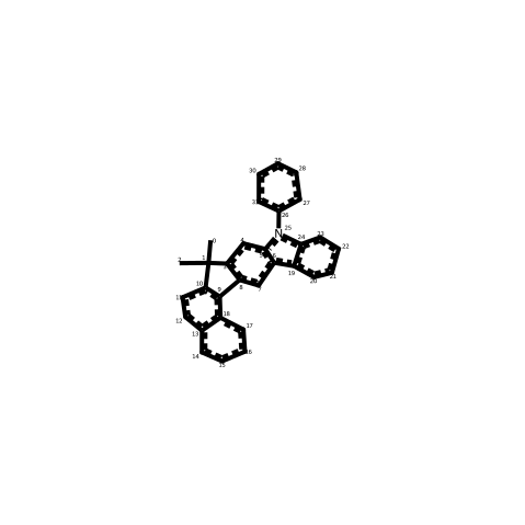 CC1(C)c2cc3c(cc2-c2c1ccc1ccccc21)c1ccccc1n3-c1ccccc1